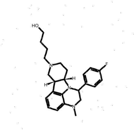 CN1CC(c2ccc(F)cc2)N2c3c(cccc31)[C@@H]1CN(CCCCO)CC[C@@H]12